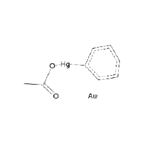 CC(=O)[O][Hg][c]1ccccc1.[Au]